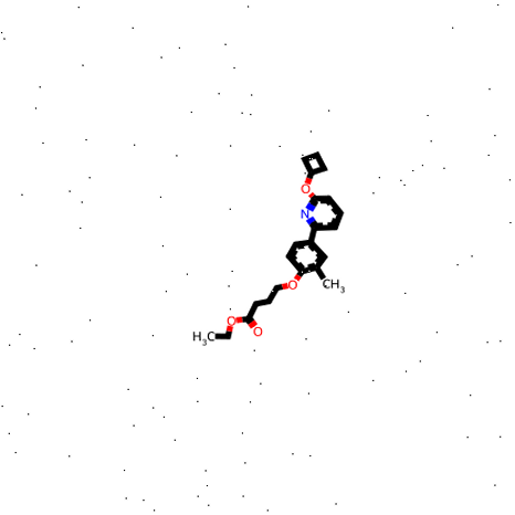 CCOC(=O)CCCOc1ccc(-c2cccc(OC3CCC3)n2)cc1C